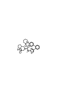 CN(C(=O)[C@@H](CC(=O)O)CC1CCCC1)c1nc(-c2ccccc2-c2ccc(N3CCCCC3=O)nc2)cs1